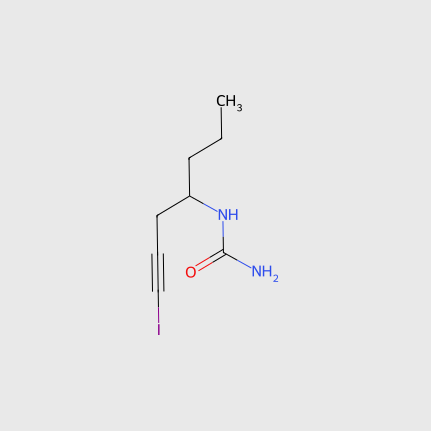 CCCC(CC#CI)NC(N)=O